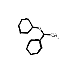 C[C](OC1CCCCC1)C1CCCCC1